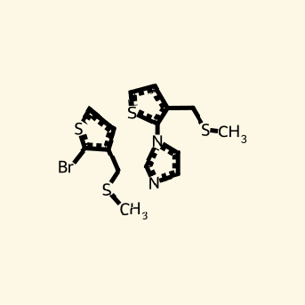 CSCc1ccsc1-n1ccnc1.CSCc1ccsc1Br